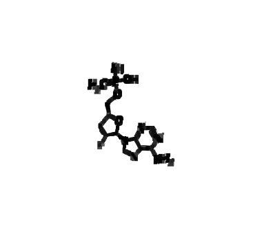 C=P(O)(S)OC[C@@H]1CC(F)[C@H](n2cnc3c(N)ncnc32)O1